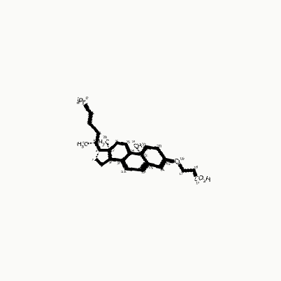 CC(C)CCC[C@@H](C)[C@H]1CCC2C3CC=C4CC(OCCC(=O)O)CC[C@]4(C)C3CC[C@@]21C